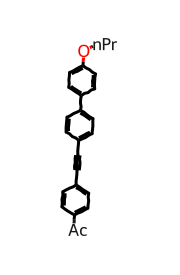 CCCOc1ccc(-c2ccc(C#Cc3ccc(C(C)=O)cc3)cc2)cc1